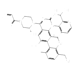 C=CC(=O)N1CCN(c2nc(=O)n(-c3c(C)ccnc3C(C)C)c3c4c(c(C)cc23)-c2c(F)ccc(CN)c2NC4)[C@@H](C)C1